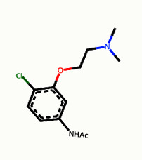 CC(=O)Nc1ccc(Cl)c(OCCN(C)C)c1